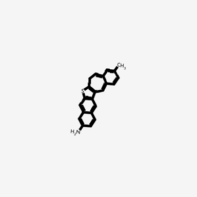 Cc1ccc2c(c1)=CCc1sc3cc4cc(N)ccc4cc3c1C=2